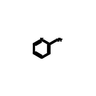 C[CH]Cc1ccccn1